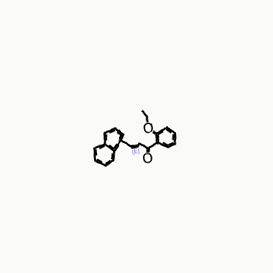 CCOc1ccccc1C(=O)/C=C/c1cccc2ccccc12